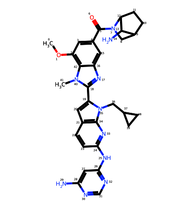 COc1cc(C(=O)N2CC3CCC2C3N)cc2nc(-c3cc4ccc(Nc5cc(N)ncn5)nc4n3CC3CC3)n(C)c12